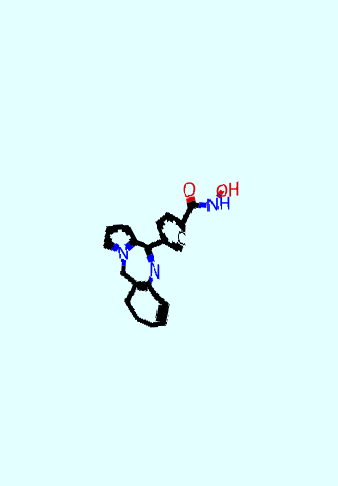 O=C(NO)c1ccc(C2=NC3=C(CCC=C3)Cn3cccc32)cc1